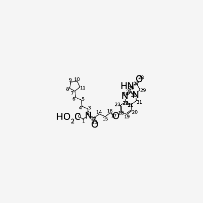 O=C(O)CN(CCCCC1CCCC1)C(=O)CCCOc1ccc2c(c1)N=C1NC(=O)CN1C2